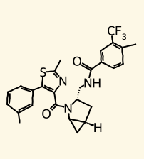 Cc1cccc(-c2sc(C)nc2C(=O)N2C3C[C@H]3C[C@H]2CNC(=O)c2ccc(C)c(C(F)(F)F)c2)c1